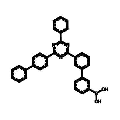 OB(O)c1cccc(-c2cccc(-c3nc(-c4ccccc4)nc(-c4ccc(-c5ccccc5)cc4)n3)c2)c1